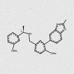 COc1cccc([C@@H](C)NCc2ccc(OC)c(-c3ccc4oc(C)nc4c3)c2)c1